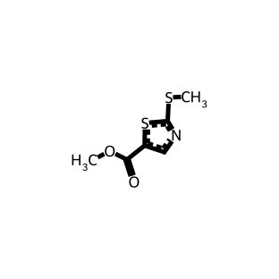 COC(=O)c1cnc(SC)s1